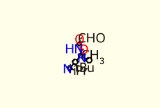 Cc1c(C(=O)N[C@H]2C[C@H](OC=O)C2)cc(-c2ccc(C3=C(C(C)C)CN=C3)c(C(C)(C)C)c2)n1CC1CCCCC1